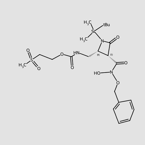 CC(C)(C)[Si](C)(C)N1C(=O)[C@H](C(=O)N(O)OCc2ccccc2)[C@@H]1CNC(=O)OCCS(C)(=O)=O